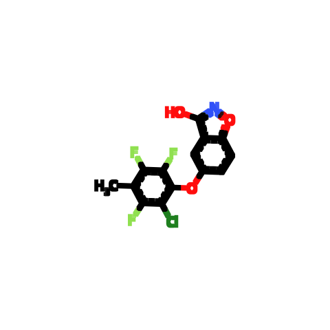 Cc1c(F)c(F)c(Oc2ccc3onc(O)c3c2)c(Cl)c1F